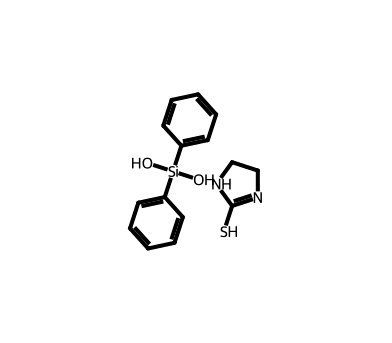 O[Si](O)(c1ccccc1)c1ccccc1.SC1=NCCN1